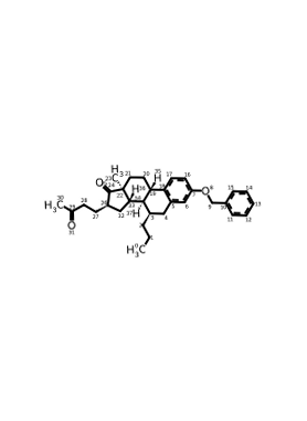 CCC[C@@H]1Cc2cc(OCc3ccccc3)ccc2[C@H]2CC[C@]3(C)C(=O)[C@H](CCC(C)=O)C[C@H]3[C@H]12